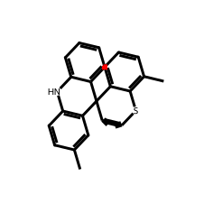 Cc1ccc2c(c1)C1(c3ccccc3N2)c2ccccc2Sc2c(C)cccc21